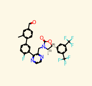 Cc1cc(C=O)ccc1-c1ccc(F)c(-c2nccnc2CN2C(=O)O[C@H](c3cc(C(F)(F)F)cc(C(F)(F)F)c3)[C@@H]2C)c1